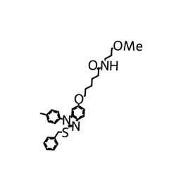 COCCCNC(=O)CCCCCOc1ccc2nc(SCc3ccccc3)n(-c3ccc(C)cc3)c2c1